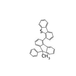 CC1(c2ccccc2)c2ccccc2-c2c(-c3cccc4c3sc3ccccc34)cccc21